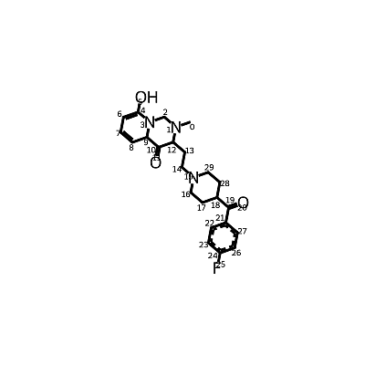 CN1CN2C(O)=CC=CC2C(=O)C1CCN1CCC(C(=O)c2ccc(F)cc2)CC1